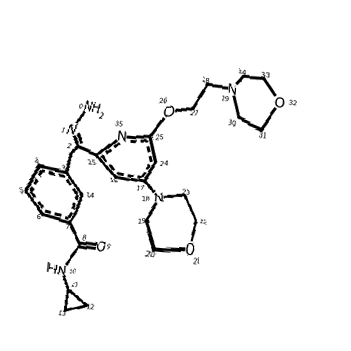 NN=C(c1cccc(C(=O)NC2CC2)c1)c1cc(N2CCOCC2)cc(OCCN2CCOCC2)n1